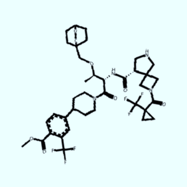 COC(=O)c1ccc(C2CCN(C(=O)[C@@H](NC(=O)[C@@H]3CNCC34CN(C(=O)C3(C(F)(F)F)CC3)C4)[C@@H](C)OCC34CCC(CC3)OC4)CC2)cc1C(F)(F)F